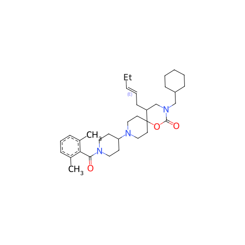 CC/C=C/CC1CN(CC2CCCCC2)C(=O)OC12CCN(C1CCN(C(=O)c3c(C)cccc3C)CC1)CC2